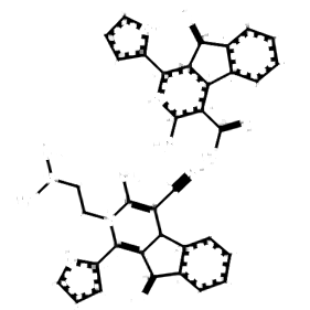 CN(C)CCN1C(N)=C(C#N)C2C(=C1c1ccco1)C(=O)c1ccccc12.Nc1nc(-c2ccco2)c2c(c1C(=O)O)-c1ccccc1C2=O